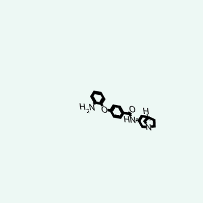 Nc1ccccc1Oc1ccc(C(=O)N[C@@H]2C[C@H]3CCN(C3)C2)cc1